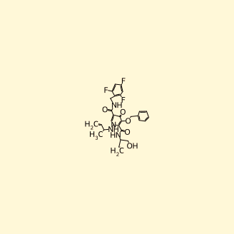 C=CC(C)Nn1cc(C(=O)NCc2c(F)cc(F)cc2F)c(=O)c(OCc2ccccc2)c1C(=O)NC(C=C)CO